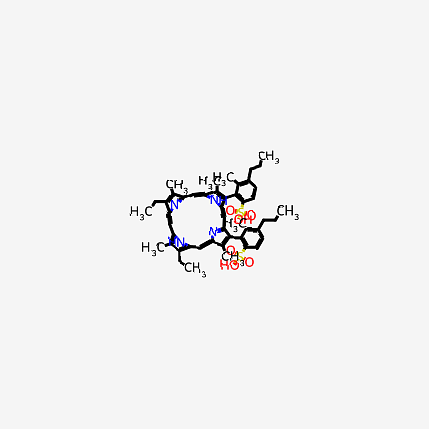 CCCc1ccc(S(=O)(=O)O)c(C2=C(C)c3cc4[nH]c(cc5nc(cc6[nH]c(cc2n3)c(-c2c(S(=O)(=O)O)ccc(CCC)c2C)c6C)C(C)=C5CC)c(C)c4CC)c1C